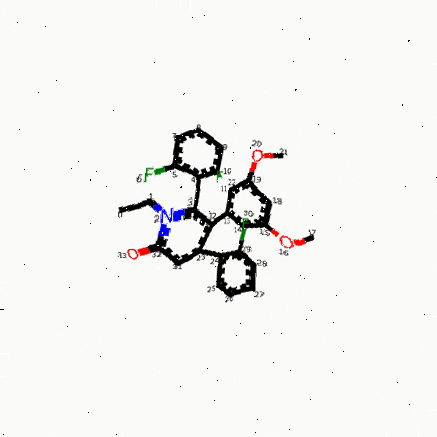 CCn1c(-c2c(F)cccc2F)c(-c2cc(OC)cc(OC)c2)c(-c2ccccc2F)cc1=O